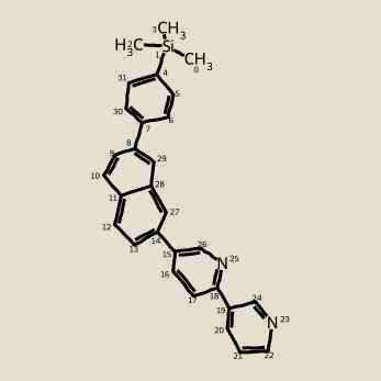 C[Si](C)(C)c1ccc(-c2ccc3ccc(-c4ccc(-c5cccnc5)nc4)cc3c2)cc1